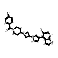 O=C(c1ccc(F)cn1)N1CCC(N2C[C](n3cc(-c4c(F)cnc5[nH]ccc45)cn3)C2)CC1